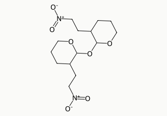 O=[N+]([O-])CCC1CCCOC1OC1OCCCC1CC[N+](=O)[O-]